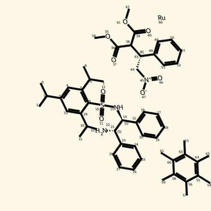 CC(C)c1cc(C(C)C)c(S(=O)(=O)N[C@@H](c2ccccc2)[C@@H](N)c2ccccc2)c(C(C)C)c1.COC(=O)C(C(=O)OC)[C@@H](C[N+](=O)[O-])c1ccccc1.Cc1c(C)c(C)c(C)c(C)c1C.[Ru]